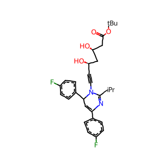 CC(C)C1=NC(c2ccc(F)cc2)=CC(c2ccc(F)cc2)N1C#C[C@@H](O)C[C@@H](O)CC(=O)OC(C)(C)C